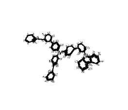 C1=CCCC(C2=CC(c3ccc(N(C4=CC=C(C5=CC(n6c7ccccc7c7ccccc76)=CCC5)CC4)c4ccc(-c5ccccc5)cc4)cc3)=CCC2)=C1